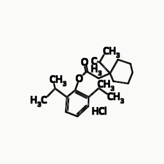 CC(C)c1cccc(C(C)C)c1OC(=O)CC1(C(C)C)CCCCC1.Cl